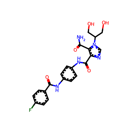 NC(=O)c1c(C(=O)Nc2ccc(NC(=O)c3ccc(F)cc3)cc2)ncn1C(CO)CO